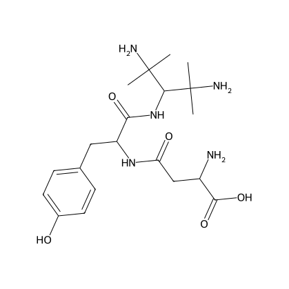 CC(C)(N)C(NC(=O)C(Cc1ccc(O)cc1)NC(=O)CC(N)C(=O)O)C(C)(C)N